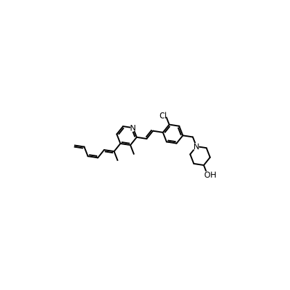 C=C/C=C\C=C(/C)c1ccnc(/C=C/c2ccc(CN3CCC(O)CC3)cc2Cl)c1C